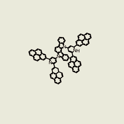 C1=CC2CC(c3cc(-n4c5ccccc5c5c6c(ccc54)c4ccccc4n6C4=CC(c5cc6ccc7cccc8ccc(c5)c6c78)NC(c5cc6ccc7cccc8ccc(c5)c6c78)=C4)cc(-c4cc5ccc6cccc7ccc(c4)c5c67)n3)=Cc3ccc4cccc1c4c32